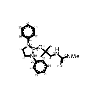 CNC(=S)NCC(C)(C)OP1N(c2ccccc2)CCN1c1ccccc1